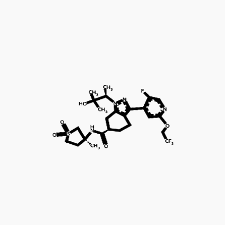 C[C@@H](n1nc(-c2cc(OCC(F)(F)F)ncc2F)c2c1C[C@H](C(=O)N[C@@]1(C)CCS(=O)(=O)C1)CC2)C(C)(C)O